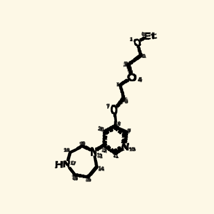 CCOCCOCCOc1cncc(N2CCCNCC2)c1